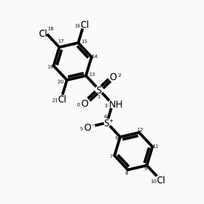 O=S(=O)(N[S+]([O-])c1ccc(Cl)cc1)c1cc(Cl)c(Cl)cc1Cl